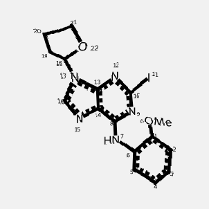 COc1ccccc1Nc1nc(I)nc2c1ncn2C1CCCO1